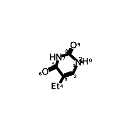 [2H]n1cc(CC)c(=O)[nH]c1=O